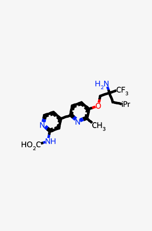 Cc1nc(-c2ccnc(NC(=O)O)c2)ccc1OCC(N)(CC(C)C)C(F)(F)F